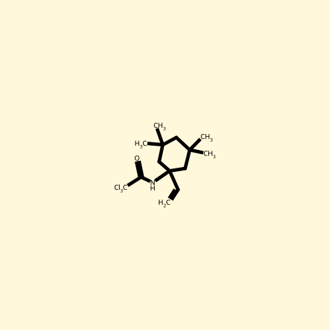 C=CC1(NC(=O)C(Cl)(Cl)Cl)CC(C)(C)CC(C)(C)C1